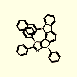 c1ccc(-c2nc3c(c4c(ccc5c6ccccc6n(-c6ccc7ccccc7c6)c54)n3-c3ccccc3)n2-c2ccccc2)cc1